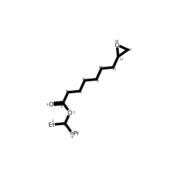 CCCC(CC)OC(=O)CCCCCCC1CO1